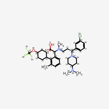 Cc1cccc(C(C(=O)O)N(C)CC[C@@H](c2cccc(Cl)c2)N2CCC(N(C)C)CC2)c1C1CCC(OC(F)(F)F)CC1